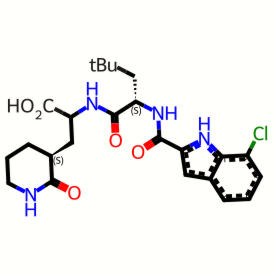 CC(C)(C)C[C@H](NC(=O)c1cc2cccc(Cl)c2[nH]1)C(=O)NC(C[C@@H]1CCCNC1=O)C(=O)O